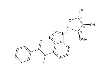 CO[C@@H]1[C@H](O)[C@@H](O)O[C@H]1n1cnc2c(N(C)C(=O)c3ccccc3)ncnc21